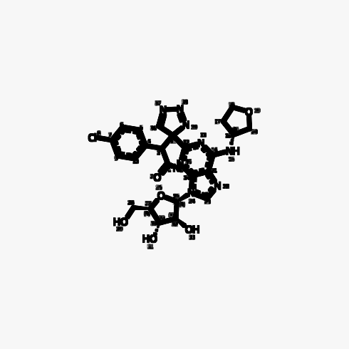 NC(=O)C(c1ccc(Cl)cc1)C1(c2nc(N[C@@H]3CCOC3)c3ncn([C@@H]4O[C@H](CO)[C@@H](O)[C@@H]4O)c3n2)C=NN=N1